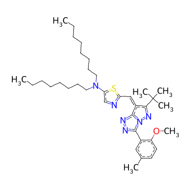 CCCCCCCCN(CCCCCCCC)c1cnc(/C=c2/c(C(C)(C)C)nn3c(-c4cc(C)ccc4OC)nnc23)s1